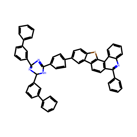 c1ccc(-c2cccc(C3=NC(c4cccc(-c5ccccc5)c4)NC(c4ccc(-c5ccc6sc7c(ccc8c(-c9ccccc9)nc9ccccc9c87)c6c5)cc4)=N3)c2)cc1